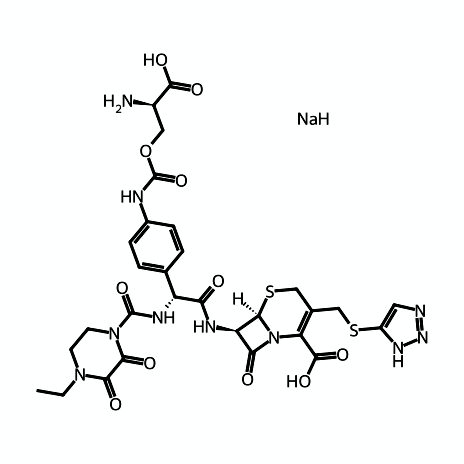 CCN1CCN(C(=O)N[C@@H](C(=O)N[C@@H]2C(=O)N3C(C(=O)O)=C(CSc4cnn[nH]4)CS[C@H]23)c2ccc(NC(=O)OC[C@@H](N)C(=O)O)cc2)C(=O)C1=O.[NaH]